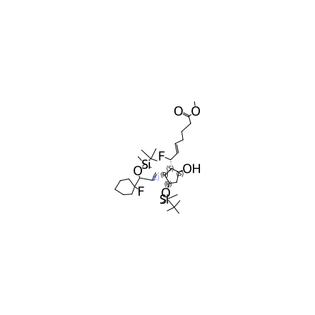 COC(=O)CCCC=CC(F)[C@H]1[C@@H](/C=C/C(O[Si](C)(C)C(C)(C)C)C2(F)CCCCC2)[C@H](O[Si](C)(C)C(C)(C)C)C[C@@H]1O